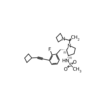 C=C(N1CCC1)N1CC[C@H](NS(C)(=O)=O)[C@@H]1Cc1cccc(C#CC2CCC2)c1F